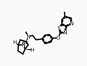 CC(=O)N1[C@@H]2CC[C@H]1C[C@H](N(C)CCc1ccc(Oc3nc4ncc(C)cc4s3)cc1)C2